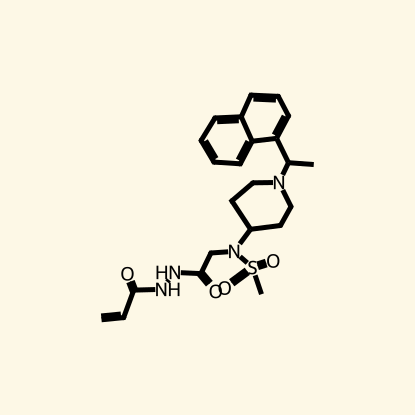 C=CC(=O)NNC(=O)CN(C1CCN(C(C)c2cccc3ccccc23)CC1)S(C)(=O)=O